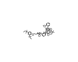 CCC(C)(C)c1ccc(OCCCC(=O)Nc2cccc(NC(=O)C(Cl)(C(=O)C(C)(C)C)n3nnc(-c4ccccc4OC)n3)c2)c(C(C)(C)CC)c1